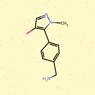 Cn1ncc(I)c1-c1ccc(CN)cc1